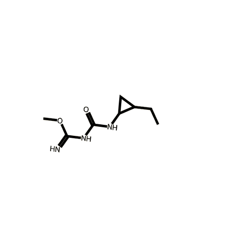 CCC1CC1NC(=O)NC(=N)OC